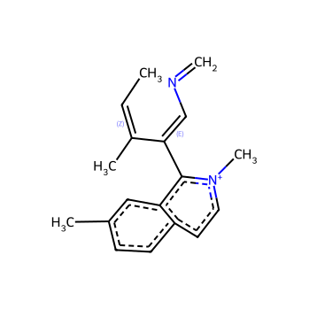 C=N/C=C(\C(C)=C/C)c1c2cc(C)ccc2cc[n+]1C